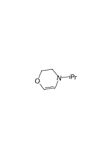 CC(C)N1C=COCC1